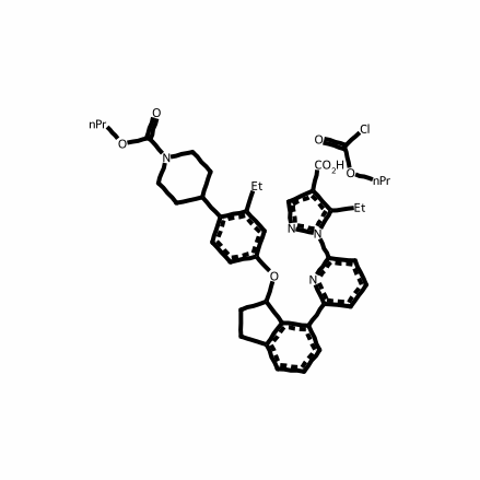 CCCOC(=O)Cl.CCCOC(=O)N1CCC(c2ccc(OC3CCc4cccc(-c5cccc(-n6ncc(C(=O)O)c6CC)n5)c43)cc2CC)CC1